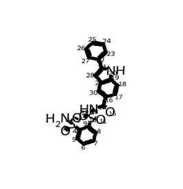 NS(=O)(=O)c1ccccc1S(=O)(=O)NC(=O)c1ccc2[nH]c(-c3ccccc3)cc2c1